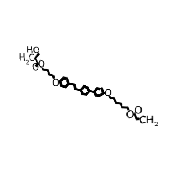 C=CC(=O)OCCCCCCOc1ccc(-c2ccc(/C=C/c3ccc(OCCCCOC(=O)C(=C)CO)cc3)cc2)cc1